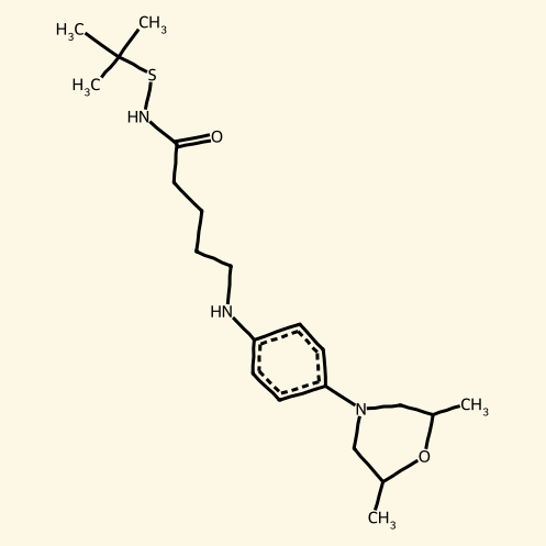 CC1CN(c2ccc(NCCCCC(=O)NSC(C)(C)C)cc2)CC(C)O1